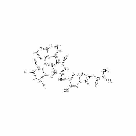 CN(C)C(=O)Cn1cc2cc(Nc3nc(=O)n(-c4cncc5ccccc45)c(=O)n3Cc3cc(F)c(F)cc3F)c(Cl)cc2n1